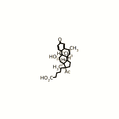 CC(=O)[C@@]1(CCCCC(=O)O)CC[C@H]2[C@@H]3C[C@H](C)C4=CC(=O)C=C[C@]4(C)[C@H]3[C@@H](O)C[C@@]21C